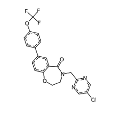 O=C1c2cc(-c3ccc(OC(F)(F)F)cc3)ccc2OCCN1Cc1ncc(Cl)cn1